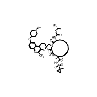 CC(C)[C@H](C)OC(=O)N[C@H]1CCCCC/C=C\[C@H](C)[C@](C)(C(=O)NS(=O)(=O)C2(C)CC2)NC(=O)[C@@H]2C[C@]3(CCc4c(c(C(F)(F)F)nc5ccc(OC6CCN(C(C)C)CC6)cc45)O3)CN2C1=O